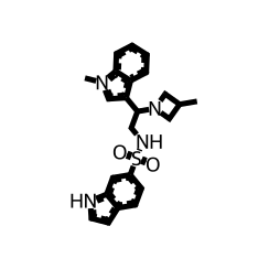 CC1CN(C(CNS(=O)(=O)c2ccc3cc[nH]c3c2)c2cn(C)c3ccccc23)C1